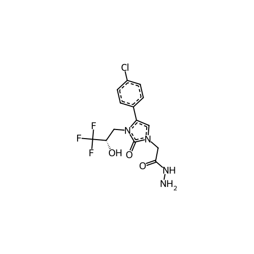 NNC(=O)Cn1cc(-c2ccc(Cl)cc2)n(C[C@H](O)C(F)(F)F)c1=O